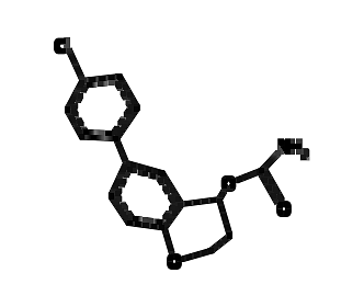 NC(=O)OC1CCOc2ccc(-c3ccc(Cl)cc3)cc21